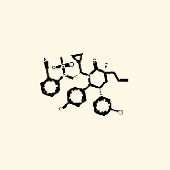 C=CC[C@@]1(C)C[C@H](c2cccc(Cl)c2)C(c2ccc(Cl)cc2)N([C@H](CN(c2ccccc2C#N)S(C)(=O)=O)C2CC2)C1=O